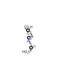 CN(CCSc1ccc(CC(=O)O)cc1Cl)c1cccc(N(C)CCSc2ccc(CC(=O)O)cc2Cl)n1